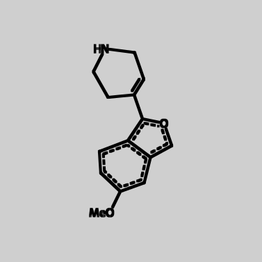 COc1ccc2c(C3=CCNCC3)occ2c1